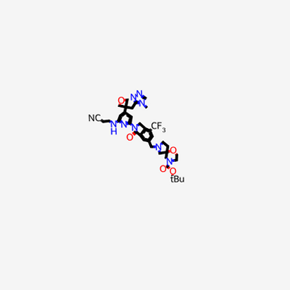 Cn1cnnc1CC1(c2cc(NCCC#N)nc(N3Cc4c(cc(CN5CCC6(C5)CN(C(=O)OC(C)(C)C)CCO6)cc4C(F)(F)F)C3=O)c2)COC1